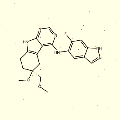 COC[C@]1(OC)CCc2[nH]c3ncnc(Nc4cc5cn[nH]c5cc4F)c3c2C1